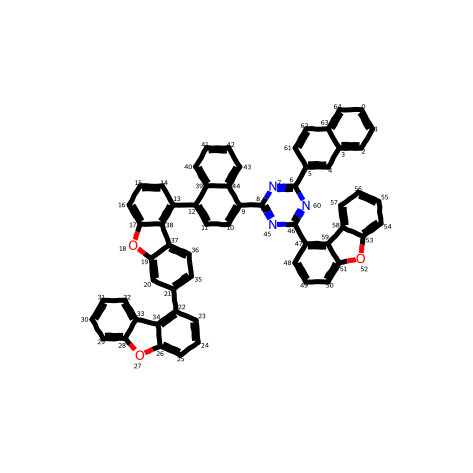 c1ccc2cc(-c3nc(-c4ccc(-c5cccc6oc7cc(-c8cccc9oc%10ccccc%10c89)ccc7c56)c5ccccc45)nc(-c4cccc5oc6ccccc6c45)n3)ccc2c1